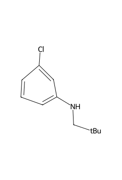 CC(C)(C)CNc1cccc(Cl)c1